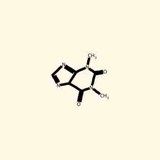 CN1C(=O)C2N=[C]N=C2N(C)C1=O